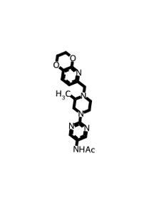 CC(=O)Nc1cnc(N2CCN(Cc3ccc4c(n3)OCCO4)C(C)C2)nc1